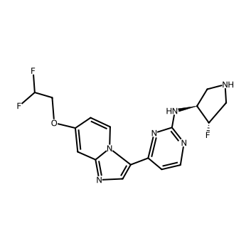 FC(F)COc1ccn2c(-c3ccnc(N[C@H]4CNC[C@@H]4F)n3)cnc2c1